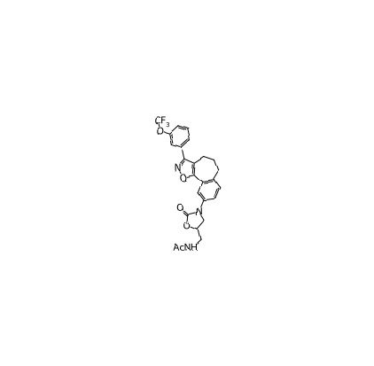 CC(=O)NCC1CN(c2ccc3c(c2)-c2onc(-c4cccc(OC(F)(F)F)c4)c2CCC3)C(=O)O1